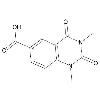 Cn1c(=O)c2cc(C(=O)O)ccc2n(C)c1=O